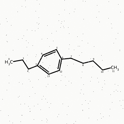 CC[CH]c1ccc(CCCCC)cc1